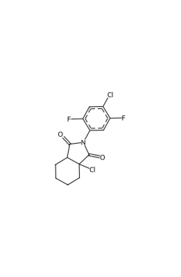 O=C1C2CCCCC2(Cl)C(=O)N1c1cc(F)c(Cl)cc1F